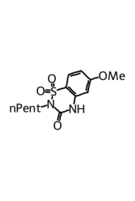 CCCCCN1C(=O)Nc2cc(OC)ccc2S1(=O)=O